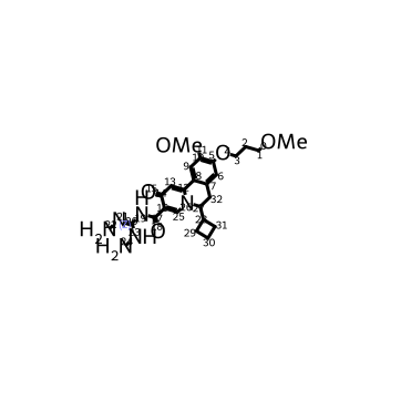 COCCCOc1cc2c(cc1OC)-c1cc(=O)c(C(=O)N/C(=N/N)NN)cn1C(C1CCC1)C2